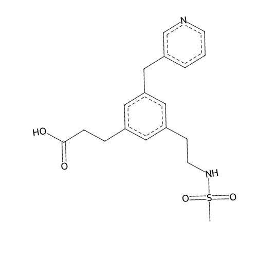 CS(=O)(=O)NCCc1cc(CCC(=O)O)cc(Cc2cccnc2)c1